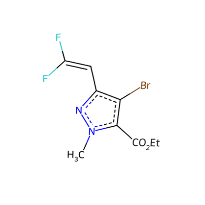 CCOC(=O)c1c(Br)c(C=C(F)F)nn1C